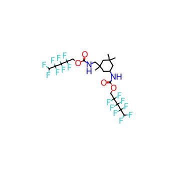 CC1(C)CC(NC(=O)OCC(F)(F)C(F)(F)C(F)(F)C(F)F)CC(C)(CNC(=O)OCC(F)(F)C(F)(F)C(F)(F)C(F)F)C1